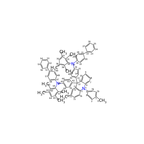 Cc1ccc(N2c3ccccc3C(c3ccc(N(c4ccc(-c5ccccc5)cc4)c4c(C)c(C)cc(C)c4C)cc3)(c3ccc(N(c4ccc(-c5ccccc5)cc4)c4c(C)c(C)cc(C)c4C)cc3)c3cc(C)ccc32)cc1